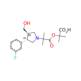 CC(C)(OC(=O)C(C)(C)N1C[C@H](CO)[C@@H](c2cccc(F)c2)C1)C(=O)O